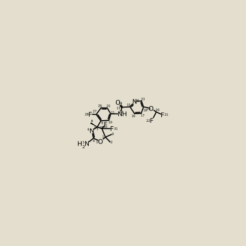 CC1(C)OC(N)=N[C@](C)(c2cc(NC(=O)c3ccc(OC(F)F)cn3)ccc2F)C1(F)F